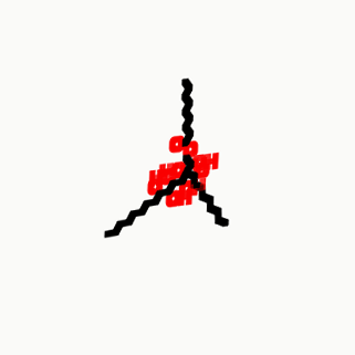 CCCCCCCCC(=O)OC[C@@H](O)[C@](O)(C(=O)CCCCCCCC)[C@H](O)[C@@H](O)C(O)C(=O)CCCCCCCC